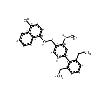 CCc1cccc(CC)c1-c1cc(OC)c(COc2ccc(Cl)c3ccccc23)cn1